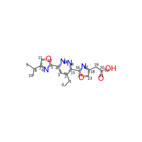 CCc1cc(-c2nc(C(C)C)co2)nnc1-c1nc(CC(=O)O)co1